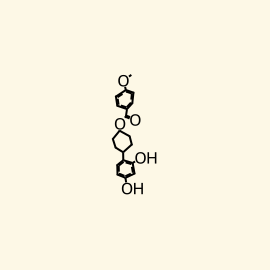 COc1ccc(C(=O)OC2CCC(c3ccc(O)cc3O)CC2)cc1